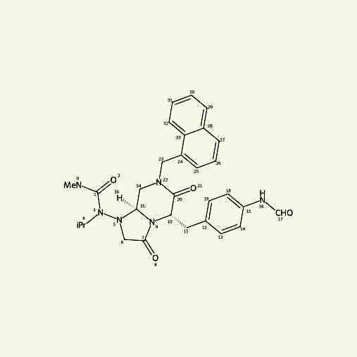 CNC(=O)N(C(C)C)N1CC(=O)N2[C@@H](Cc3ccc(NC=O)cc3)C(=O)N(Cc3cccc4ccccc34)C[C@@H]21